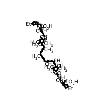 CCC1=CC2C(C1)CC2(CNC(=O)NCCC(=O)OC1CC(C)(C)C(C=CC(C)=CC=CC(C)=CC=CC=C(C)C=CC=C(C)C=CC2=C(C)C(=O)C(OC(=O)CNC(=O)NCC3(CC(=O)O)CC4CC(CC)=CC43)CC2(C)C)=C(C)C1=O)CC(=O)O